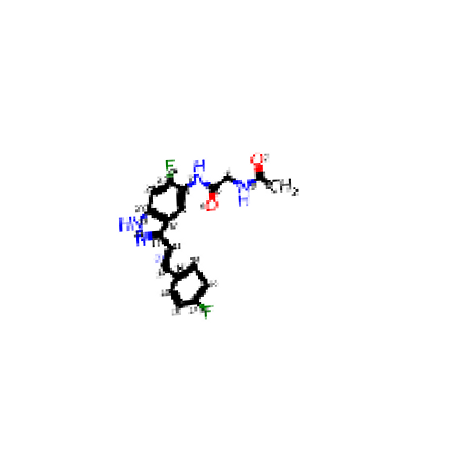 CC(=O)NCC(=O)Nc1cc2c(/C=C/c3ccc(F)cc3)n[nH]c2cc1F